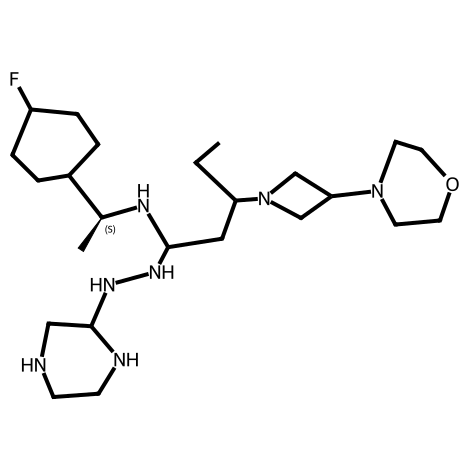 CCC(CC(NNC1CNCCN1)N[C@@H](C)C1CCC(F)CC1)N1CC(N2CCOCC2)C1